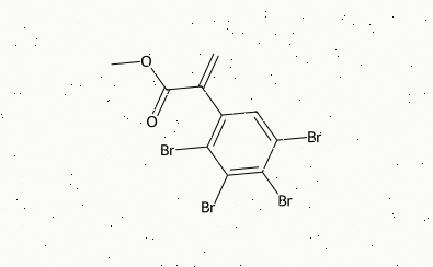 C=C(C(=O)OC)c1cc(Br)c(Br)c(Br)c1Br